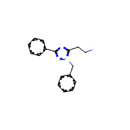 Cl.NCCc1nc(-c2ccccc2)nn1Cc1ccccc1